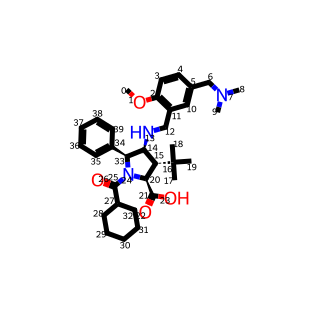 COc1ccc(CN(C)C)cc1CN[C@H]1[C@H](C(C)(C)C)[C@@H](C(=O)O)N(C(=O)C2CCCCC2)[C@H]1c1ccccc1